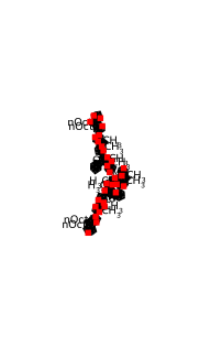 CCCCCCCCC1(CCCCCCCC)c2ccccc2-c2ccc(-c3ccc4c(c3)C(C)(C)c3cc(-c5cc6c(c7c8c(oc57)C=CCC8)-c5ccc(N(c7ccc8c(c7)C(C)(C)c7cc(-c9ccc%10c(c9)C(C)(C)c9cc(-c%11ccc%12c(c%11)C(CCCCCCCC)(CCCCCCCC)c%11ccccc%11-%12)ccc9-%10)c9oc%10ccccc%10c9c7-8)c7cccc8c7-c7ccccc7C8(C)C)cc5C6(C)C)ccc3-4)cc21